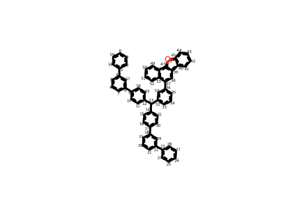 c1ccc(-c2cccc(-c3ccc(C(c4ccc(-c5cccc(-c6ccccc6)c5)cc4)c4cccc(-c5cc6c7ccccc7oc6c6ccccc56)c4)cc3)c2)cc1